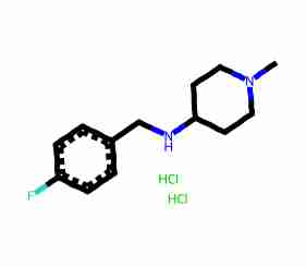 CN1CCC(NCc2ccc(F)cc2)CC1.Cl.Cl